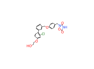 O=c1[nH]c(=O)n(Cc2ccc(OCc3cccc(-c4ccc(OCCO)cc4Cl)c3)cc2)o1